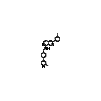 Cc1cccc(-c2cc3ccnc(NCc4ccc(-c5ccnc(C)c5)cc4)c3cn2)c1